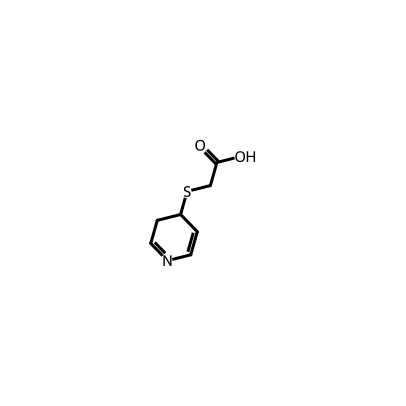 O=C(O)CSC1C=CN=CC1